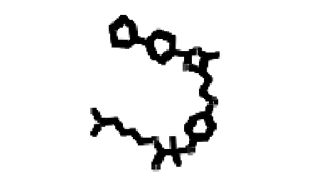 Cc1oc(-c2ccc(-c3ccccc3)cc2)nc1CCOc1ccc(OC(C)(C)C(=O)OCCCCN(C)C)cc1